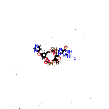 Nc1nc2c(ncn2[C@@H]2O[C@@H]3C4O[P@@](=O)(S)O[C@H]5C[C@H](Oc6ccncn6)CC5CO[P@@](=O)(S)O[C@@H]2[C@]43O)c(=O)[nH]1